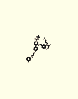 COCCCN1C(=O)COc2ccc(COC3CN(C(=O)OC(C)(C)C)CCC3c3ccc(OCCCOc4cccc(F)c4)cc3)cc21